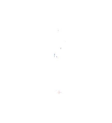 CC(=O)CN1CCC[C@H]1CCO